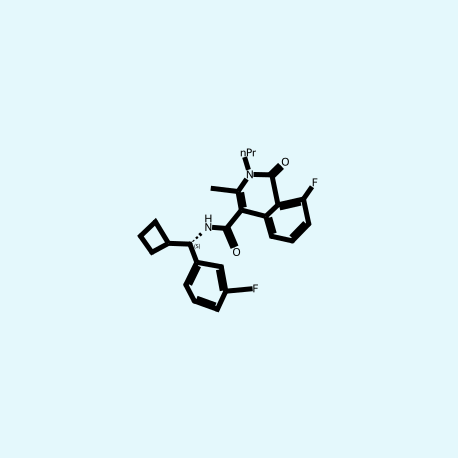 CCCn1c(C)c(C(=O)N[C@H](c2cccc(F)c2)C2CCC2)c2cccc(F)c2c1=O